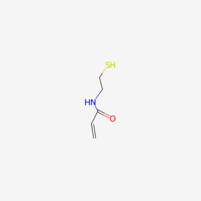 C=CC(=O)NCCS